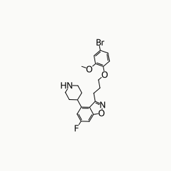 COc1cc(Br)ccc1OCCCc1noc2cc(F)cc(C3CCNCC3)c12